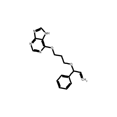 C=CC(OCCCOc1ncnc2nc[nH]c12)c1ccccc1